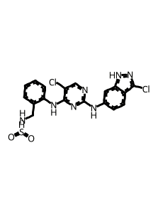 O=[SH](=O)NCc1ccccc1Nc1nc(Nc2ccc3c(Cl)n[nH]c3c2)ncc1Cl